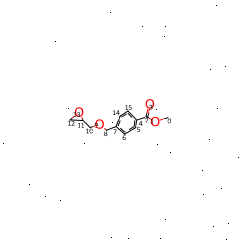 COC(=O)c1ccc(COCC2CO2)cc1